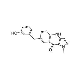 Cn1ncc2[nH]c3ccc(Cc4cccc(O)c4)cc3c(=O)c21